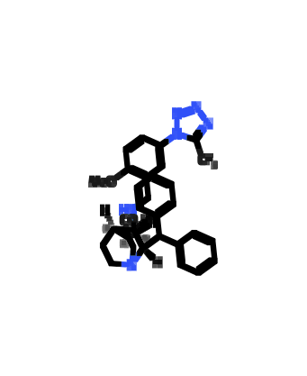 COc1ccc(-n2nnnc2C(F)(F)F)cc1CN[C@H]1[C@@H]2CCN(C[C@H]2C(=O)O)[C@H]1C(c1ccccc1)c1ccccc1